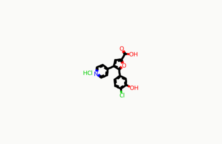 Cl.O=C(O)c1cc(-c2ccncc2)c(-c2ccc(Cl)c(O)c2)o1